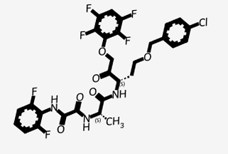 C[C@H](NC(=O)C(=O)Nc1c(F)cccc1F)C(=O)N[C@@H](CCOCc1ccc(Cl)cc1)C(=O)COc1c(F)c(F)cc(F)c1F